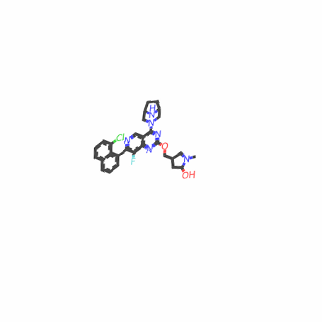 CN1CC(COc2nc(N3CC4CCC(C3)N4)c3cnc(-c4cccc5cccc(Cl)c45)c(F)c3n2)CC1O